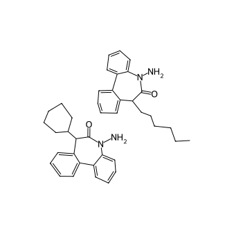 CCCCCCC1C(=O)N(N)c2ccccc2-c2ccccc21.NN1C(=O)C(C2CCCCC2)c2ccccc2-c2ccccc21